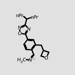 CCCC(CCC)c1noc(-c2ccc(/C=N\C)c(CC3COC3)c2)n1